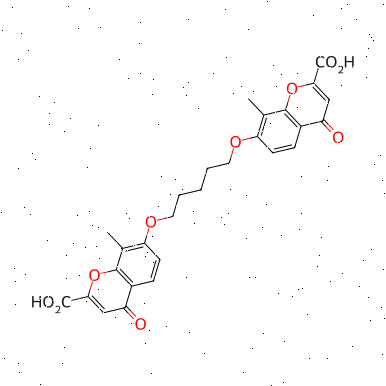 Cc1c(OCCCCCOc2ccc3c(=O)cc(C(=O)O)oc3c2C)ccc2c(=O)cc(C(=O)O)oc12